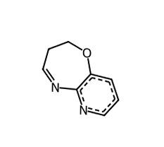 C1=Nc2ncccc2OCC1